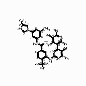 [2H]c1nc(Nc2cc(C(=O)Nc3cc(C)cc(-n4cnc(C)c4)c3)ccc2C([2H])([2H])[2H])nc(-c2c([2H])nc([2H])c([2H])c2[2H])c1[2H]